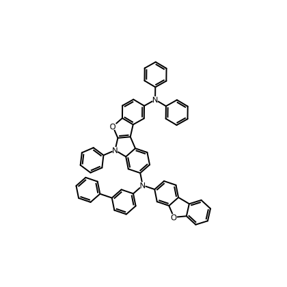 c1ccc(-c2cccc(N(c3ccc4c(c3)oc3ccccc34)c3ccc4c5c6cc(N(c7ccccc7)c7ccccc7)ccc6oc5n(-c5ccccc5)c4c3)c2)cc1